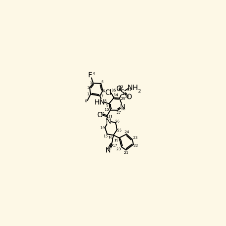 Cc1cc(F)ccc1Nc1c(C(=O)N2CCC(C#N)(c3ccccc3)CC2)cnc(S(N)(=O)=O)c1Cl